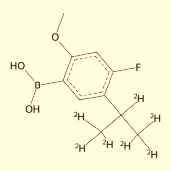 [2H]C([2H])([2H])C([2H])(c1cc(B(O)O)c(OC)cc1F)C([2H])([2H])[2H]